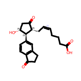 O=C(O)CCC/C=C\C[C@H]1C(=O)C[C@@H](O)[C@@H]1c1ccc2c(c1)CCC2=O